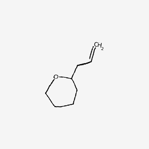 C=CCC1CCCCO1